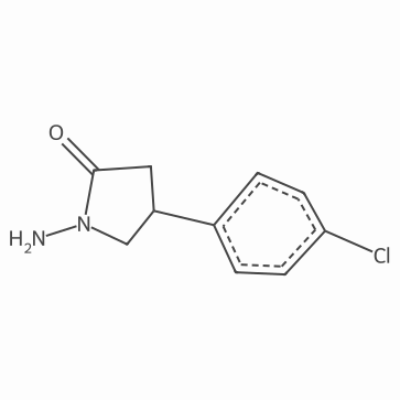 NN1CC(c2ccc(Cl)cc2)CC1=O